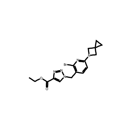 CCOC(=O)c1cn(Cc2ccc(N3CC4(CC4)C3)nc2Br)nn1